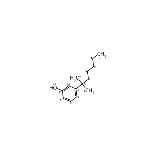 CCCCCC(C)(C)c1cccc(O)c1